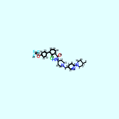 CC1CCN(c2ccc(CN3CCC(NC(=O)c4cccc(-c5ccc(OC(F)(F)F)cc5)c4Cl)CC3)cn2)CC1